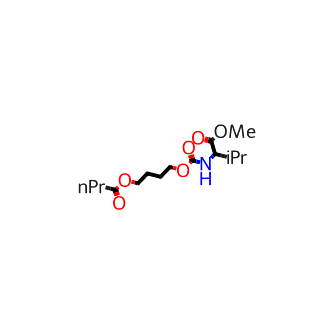 CCCC(=O)OCCCCOC(=O)NC(C(=O)OC)C(C)C